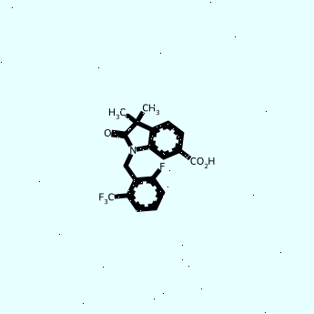 CC1(C)C(=O)N(Cc2c(F)cccc2C(F)(F)F)c2cc(C(=O)O)ccc21